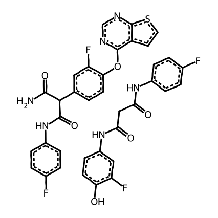 NC(=O)C(C(=O)Nc1ccc(F)cc1)c1ccc(Oc2ncnc3sccc23)c(F)c1.O=C(CC(=O)Nc1ccc(O)c(F)c1)Nc1ccc(F)cc1